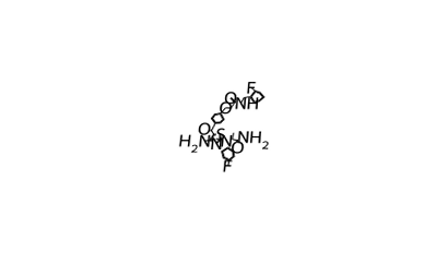 CC(C(N)=O)N(c1ccc(F)cc1)c1nc(N)c(C(=O)c2ccc(OCC(=O)NCc3ccccc3F)cc2)s1